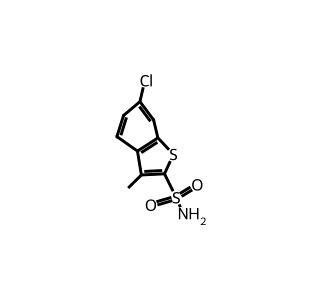 Cc1c(S(N)(=O)=O)sc2cc(Cl)ccc12